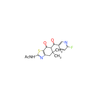 CC(=O)Nc1nc2c(s1)C(=O)C(C(=O)c1ccc(F)nc1)C(C)(C)C2